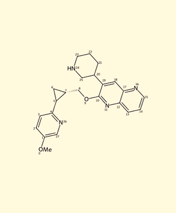 COc1ccc(C2C[C@@H]2COc2nc3cccnc3cc2C2CCCNC2)nc1